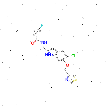 O=C(NCc1cc2cc(Cl)c(OCc3cscn3)cc2[nH]1)[C@@H]1C[C@H]1F